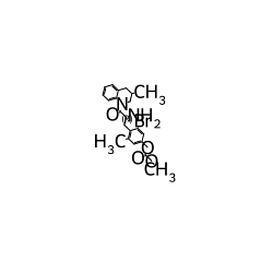 COC(=O)Oc1cc(C)c(C[C@@H](N)C(=O)N2CC(C)Cc3ccccc32)c(Br)c1